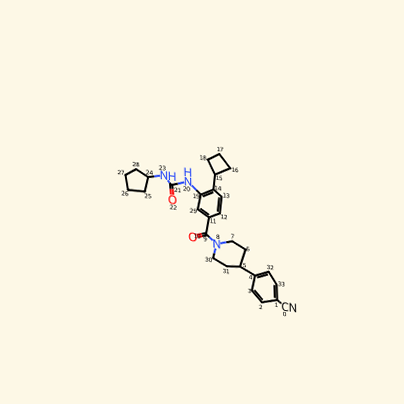 N#Cc1ccc(C2CCN(C(=O)c3ccc(C4CCC4)c(NC(=O)NC4CCCC4)c3)CC2)cc1